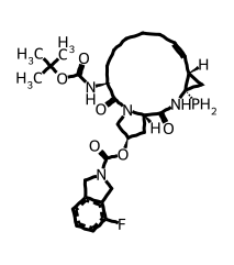 CC(C)(C)OC(=O)N[C@H]1CCCCC/C=C\[C@@H]2C[C@@]2(P)NC(=O)[C@@H]2C[C@@H](OC(=O)N3Cc4cccc(F)c4C3)CN2C1=O